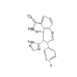 O=c1[nH]nc2c3c(cccc13)N=CC(c1ccc(F)cc1)C2c1ncn[nH]1